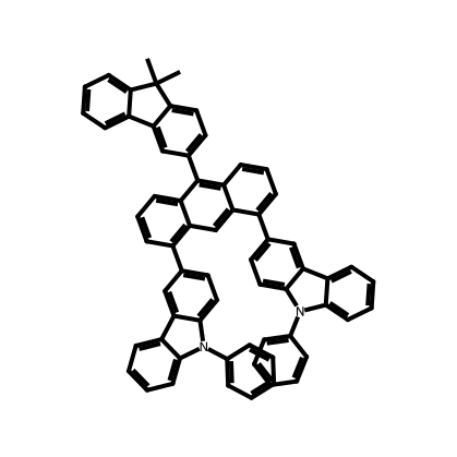 CC1(C)c2ccccc2-c2cc(-c3c4cccc(-c5ccc6c(c5)c5ccccc5n6-c5ccccc5)c4cc4c(-c5ccc6c(c5)c5ccccc5n6-c5ccccc5)cccc34)ccc21